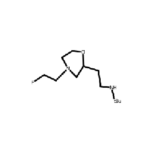 CC(C)(C)NCCC1CN(CCF)CCO1